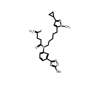 C=C(F)CCC(=O)N(CCCCCc1cc(C2CC2)nn1C)c1cccc(-c2noc(C(C)(C)C)n2)c1